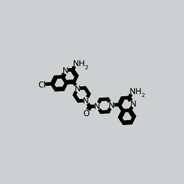 Nc1cc(N2CCN(C(=O)N3CCN(c4cc(N)nc5cc(Cl)ccc45)CC3)CC2)c2ccccc2n1